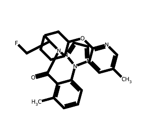 Cc1ccc(OC2CC3CCC2N(C(=O)c2c(C)cccc2-n2nccn2)C3CF)nc1